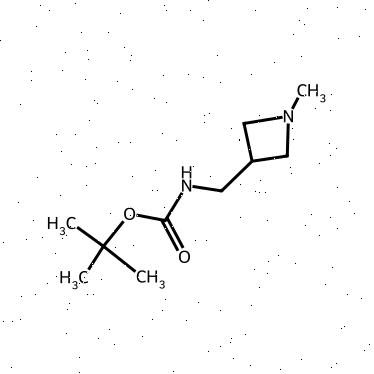 CN1CC(CNC(=O)OC(C)(C)C)C1